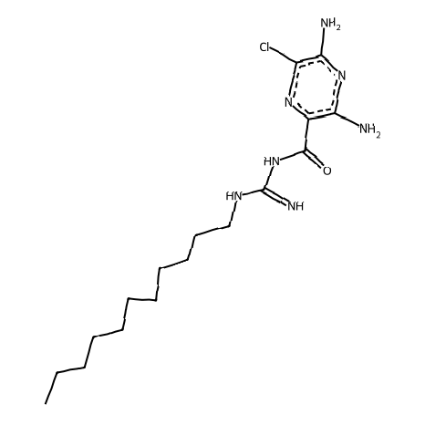 CCCCCCCCCCCNC(=N)NC(=O)c1nc(Cl)c(N)nc1N